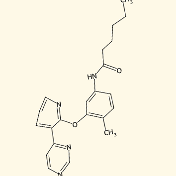 CCCCCC(=O)Nc1ccc(C)c(Oc2ncccc2-c2ccncn2)c1